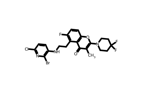 Cc1c(N2CCC(F)(F)CC2)oc2ccc(F)c(CCNc3ccc(Cl)nc3Br)c2c1=O